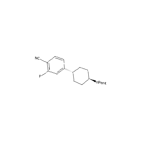 CCCCC[C@H]1CC[C@H](c2ccc(C#N)c(F)c2)CC1